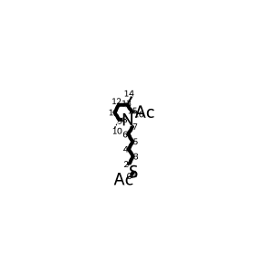 CC(=O)SCCCCCCN1[C@H](C)CC[C@@H](C)[C@H]1C(C)=O